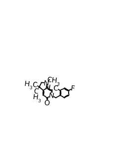 Cc1cc(F)ccc1Cn1cc2c(cc1=O)C(C)(C)CN2C